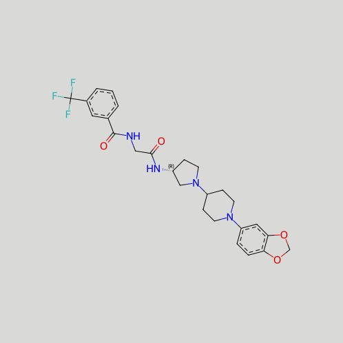 O=C(CNC(=O)c1cccc(C(F)(F)F)c1)N[C@@H]1CCN(C2CCN(c3ccc4c(c3)OCO4)CC2)C1